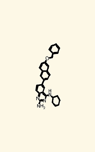 Nc1nc(NC2CCCCC2)c2cc(-c3ccc4cc(OCc5ccccc5)ccc4c3)ccc2n1